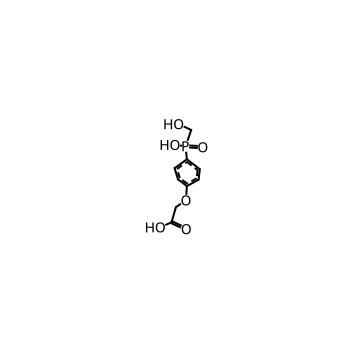 O=C(O)COc1ccc(P(=O)(O)CO)cc1